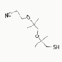 CC(C)(CS)OCC(C)(C)OCCC#N